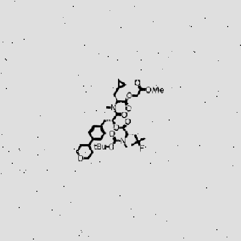 COC(=O)COC(=O)[C@H](CC1CC1)N(C)C(=O)[C@@H](Cc1ccc(C2CCOCC2)cc1)OC(=O)[C@H](CC(C)(C)F)N(C)C(=O)OC(C)(C)C